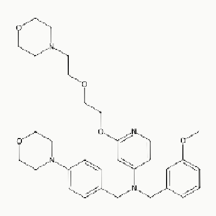 COc1cccc(CN(Cc2ccc(N3CCOCC3)cc2)c2ccnc(OCCOCCN3CCOCC3)c2)c1